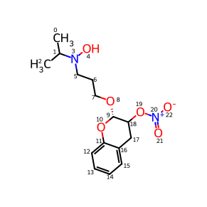 CC(C)N(O)CCCO[C@H]1Oc2ccccc2CC1O[N+](=O)[O-]